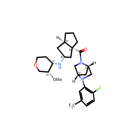 CO[C@@H]1COCC[C@@H]1N[C@@H]1C[C@H]2CCC[C@@]2(C(=O)N2C[C@@H]3C[C@H]2CN3c2cc(C(F)(F)F)ccc2F)C1